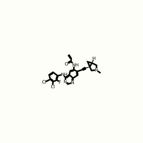 C=CC(=O)Nc1cc2c(Nc3ccc(Cl)c(Cl)c3F)ncnc2cc1C#C[C@@]12C[C@@H]1CN(C)C2